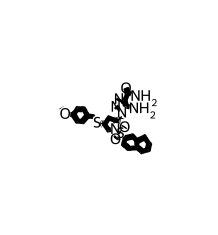 COc1ccc(CS[C@@H]2C[C@@H](Cn3nnc(C(N)=O)c3N)N(S(=O)(=O)c3ccc4ccccc4c3)C2)cc1